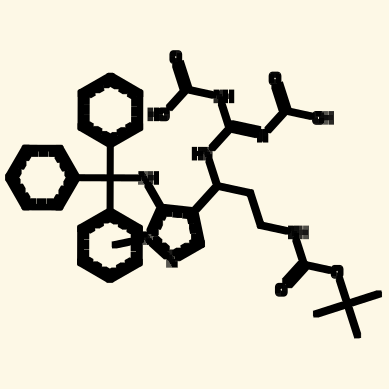 Cn1ncc(C(CCNC(=O)OC(C)(C)C)NC(=NC(=O)O)NC(=O)O)c1NC(c1ccccc1)(c1ccccc1)c1ccccc1